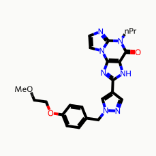 CCCn1c(=O)c2[nH]c(-c3cnn(Cc4ccc(OCCOC)cc4)c3)nc2n2ccnc12